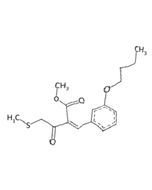 CCCCOc1cccc(C=C(C(=O)CSC)C(=O)OC)c1